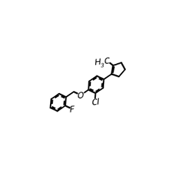 CC1=C(c2ccc(OCc3ccccc3F)c(Cl)c2)CCC1